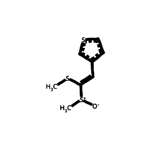 CS/C(=C\c1ccsc1)[S+](C)[O-]